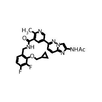 CC(=O)Nc1cn2nc(-c3cnc(C)c(C(=O)NCc4ccc(F)c(F)c4OCC4CC4)c3)ccc2n1